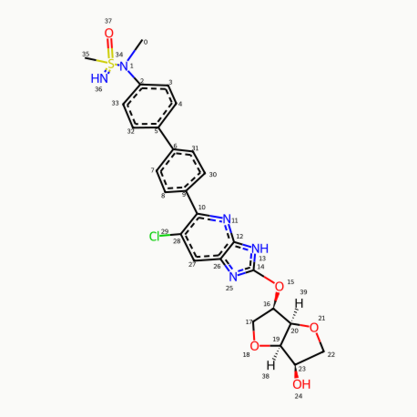 CN(c1ccc(-c2ccc(-c3nc4[nH]c(O[C@@H]5CO[C@H]6[C@@H]5OC[C@H]6O)nc4cc3Cl)cc2)cc1)S(C)(=N)=O